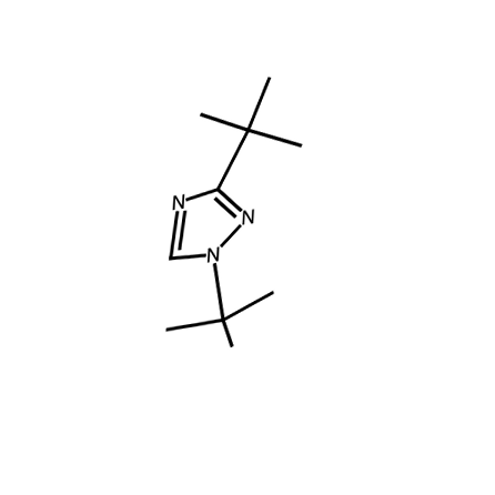 CC(C)(C)c1ncn(C(C)(C)C)n1